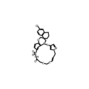 O=C1CCCC/C=C/Cn2cc(cn2)CN2CC3(CCCc4cc(Cl)ccc43)COc3ccc(cc32)S(=O)(=O)N1